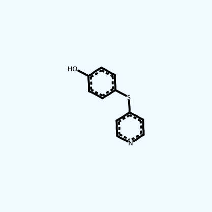 Oc1ccc(Sc2ccncc2)cc1